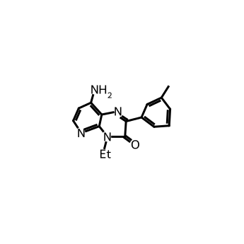 CCn1c(=O)c(-c2cccc(C)c2)nc2c(N)ccnc21